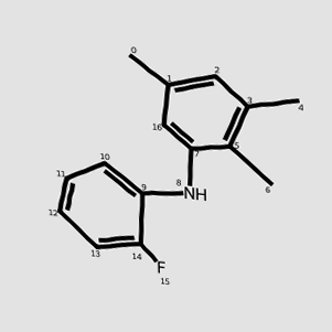 Cc1cc(C)c(C)c(Nc2ccccc2F)c1